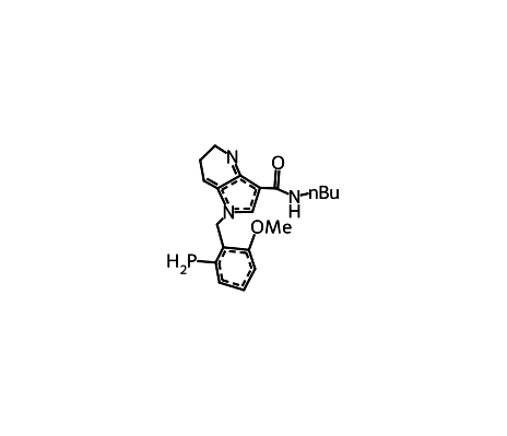 CCCCNC(=O)c1cn(Cc2c(P)cccc2OC)c2c1=NCCC=2